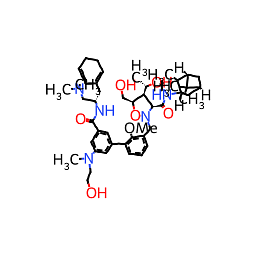 COc1c(CN2O[C@@H](CO)[C@@H]([C@H](C)O)[C@H]2C(=O)N[C@H]2C[C@H]3C[C@@H]([C@@H]2C)C3(C)C)cccc1-c1cc(C(=O)N[C@@H](CC2=CCCC=C2)CN(C)C)cc(N(C)CCO)c1